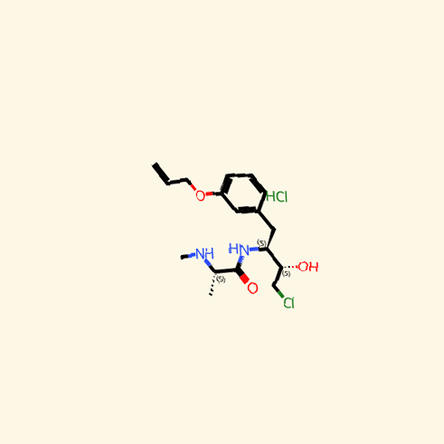 C=CCOc1cccc(C[C@H](NC(=O)[C@H](C)NC)[C@H](O)CCl)c1.Cl